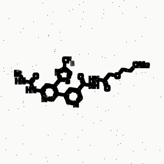 CCNC(=O)Nc1cc(-c2nc(C(F)(F)F)cs2)c(-c2cncc(C(=O)NNC(=O)COCCOC)c2)cn1